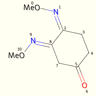 CO/N=C1/CCC(=O)C/C1=N\OC